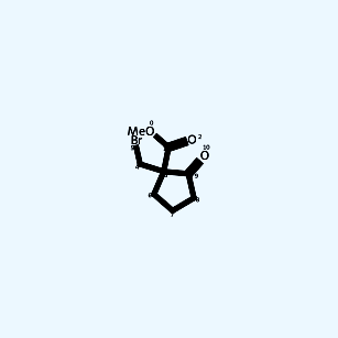 COC(=O)C1(CBr)CCCC1=O